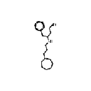 CC(C)CCC(Cc1ccccc1)NCCCN1CCCCCC1